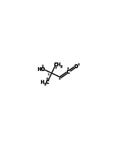 CC(C)(O)C=C=O